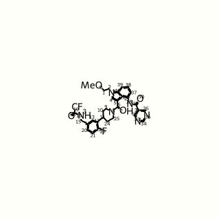 COCCn1cc(C(=O)N2CCC(c3cc(CNC(=O)C(F)(F)F)ccc3F)CC2)c2c(NC(=O)c3cncnc3)cccc21